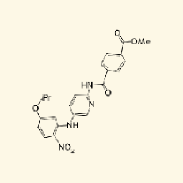 COC(=O)c1ccc(C(=O)Nc2ccc(Nc3cc(OC(C)C)ccc3[N+](=O)[O-])cn2)cc1